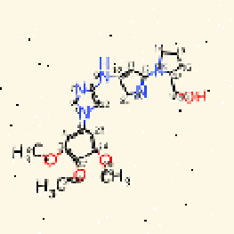 COc1cc(-n2cnc(NC3=CC(N4CCCC4CO)=NC3)c2)cc(OC)c1OC